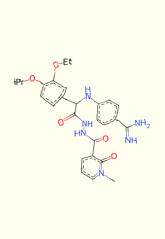 CCOc1cc(C(Nc2ccc(C(=N)N)cc2)C(=O)NNC(=O)c2cccn(C)c2=O)ccc1OC(C)C